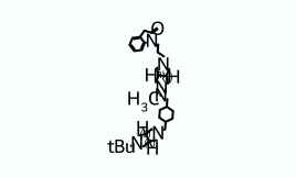 CN(CC1CCC(CN2C[C@@H]3CN(C(C)(C)C)C[C@@H]3C2)CC1)N1C[C@H]2CN(CCCN3C(=O)Cc4ccccc43)C[C@H]2C1